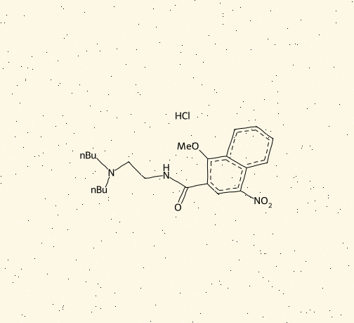 CCCCN(CCCC)CCNC(=O)c1cc([N+](=O)[O-])c2ccccc2c1OC.Cl